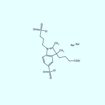 CC1=[N+](CCCS(=O)(=O)[O-])c2ccc(S(=O)(=O)[O-])cc2C1(C)CCCC(=O)[O-].[Na+].[Na+]